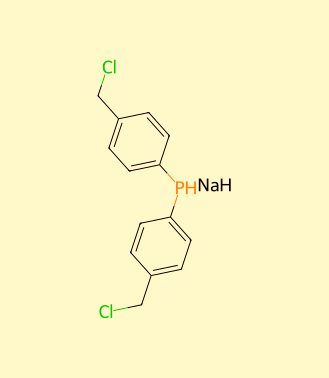 ClCc1ccc(Pc2ccc(CCl)cc2)cc1.[NaH]